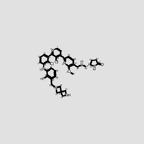 COc1nc(-c2ccnc(-c3cccc(Nc4cccc(CN5CC6(CNC6)C5)c4F)c3Cl)c2Cl)ccc1CNC[C@@H]1CCC(=O)N1